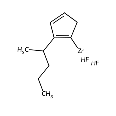 CCCC(C)C1=[C]([Zr])CC=C1.F.F